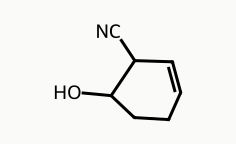 N#CC1C=CCCC1O